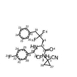 N#CC1(NC(=O)[C@H](CC(F)(F)Cc2ccccc2)N[C@@H](c2ccc(F)cc2)C(F)(F)F)CC1